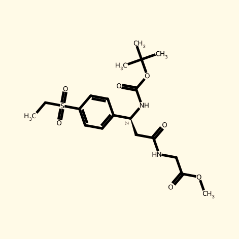 CCS(=O)(=O)c1ccc([C@H](CC(=O)NCC(=O)OC)NC(=O)OC(C)(C)C)cc1